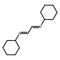 C(/C=N/C1CCCCC1)=NC1CCCCC1